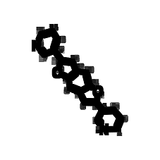 c1cncc(-c2cc3cc4oc(-c5cccnc5)cc4cc3o2)c1